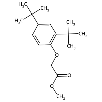 COC(=O)COc1ccc(C(C)(C)C)cc1C(C)(C)C